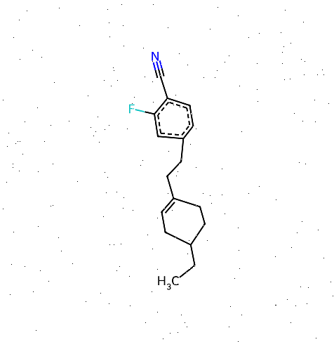 CCC1CC=C(CCc2ccc(C#N)c(F)c2)CC1